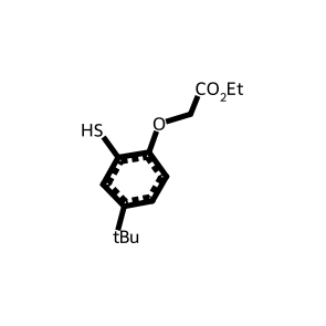 CCOC(=O)COc1ccc(C(C)(C)C)cc1S